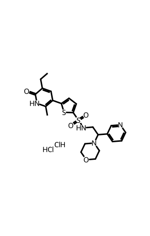 CCc1cc(-c2ccc(S(=O)(=O)NCC(c3cccnc3)N3CCOCC3)s2)c(C)[nH]c1=O.Cl.Cl